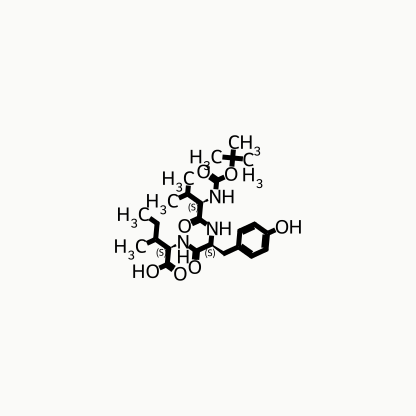 CCC(C)[C@H](NC(=O)[C@H](Cc1ccc(O)cc1)NC(=O)[C@@H](NC(=O)OC(C)(C)C)C(C)C)C(=O)O